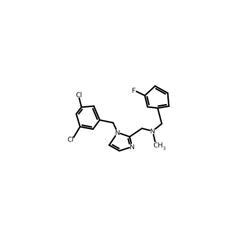 CN(Cc1cccc(F)c1)Cc1nccn1Cc1cc(Cl)cc(Cl)c1